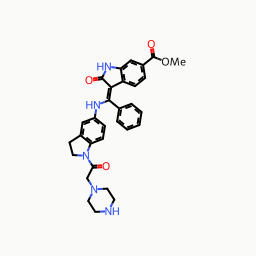 COC(=O)c1ccc2c(c1)NC(=O)/C2=C(\Nc1ccc2c(c1)CCN2C(=O)CN1CCNCC1)c1ccccc1